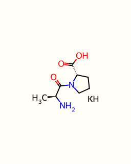 C[C@H](N)C(=O)N1CCC[C@H]1C(=O)O.[KH]